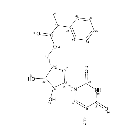 CC(C(=O)OC[C@@H]1O[C@H](n2cc(F)c(=O)[nH]c2=O)C(O)C1O)c1ccccc1